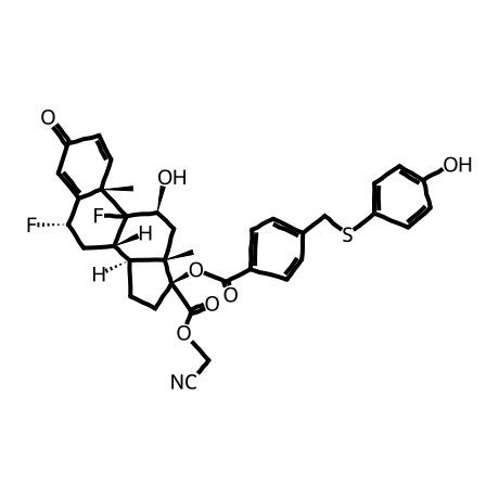 C[C@]12C=CC(=O)C=C1[C@@H](F)C[C@H]1[C@@H]3CC[C@@](OC(=O)c4ccc(CSc5ccc(O)cc5)cc4)(C(=O)OCC#N)[C@@]3(C)C[C@H](O)C12F